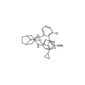 N#Cc1ccc(NC(=O)N2C3CCC2CC(OCc2c(-c4c(Cl)cccc4Cl)noc2C2CC2)C3)cc1